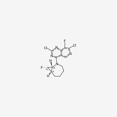 Fc1c(Cl)ncc2c(N3CCCC[C@@H]4[C@H](F)[C@@H]43)nc(Cl)nc12